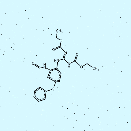 CCOC(=O)/N=C(/NC(=O)OCC)Nc1ccc(Sc2ccccc2)cc1NC=O